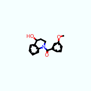 COc1cccc(C(=O)N2CCC(O)c3ccccc32)c1